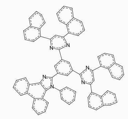 c1ccc(-n2c(-c3cc(-c4nc(-c5cccc6ccccc56)cc(-c5cccc6ccccc56)n4)cc(-c4nc(-c5cccc6ccccc56)cc(-c5cccc6ccccc56)n4)c3)nc3c4ccccc4c4ccccc4c32)cc1